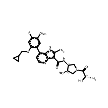 COc1cc(-c2ccnc3c(C(=O)N[C@H]4CN(C(=O)[C@H](C)O)C[C@H]4O)c(C)[nH]c23)c(OCC2CC2)cc1F